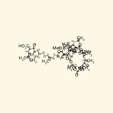 CC[C@H]1OC(=O)[C@H](C)[C@@H](O[C@H]2C[C@@](C)(OC)[C@@H](OCCCN(C)CCCc3ccc4c(c3)c(=O)c(C(=O)O)cn4N(C)C)[C@H](C)O2)[C@H](C)[C@@H](O[C@@H]2O[C@H](C)C[C@H](N(C)C)[C@H]2O)[C@](C)(OC)C[C@@H](C)C(=O)C(C)[C@H]2NC(=O)O[C@@]21C